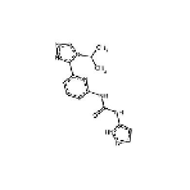 CC(C)n1cnnc1-c1cccc(NC(=O)Nc2ccn[nH]2)n1